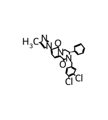 Cc1cn(-c2ccc3n(c2=O)C[C@@H](c2ccccc2)N(Cc2ccc(Cl)c(Cl)c2)C3=O)cn1